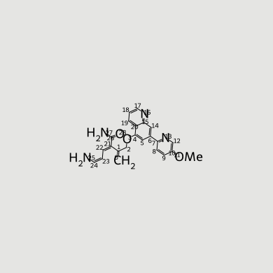 C=C(COc1cc(-c2ccc(OC)cn2)cc2ncccc12)/C(=C\C=C/N)C(N)=O